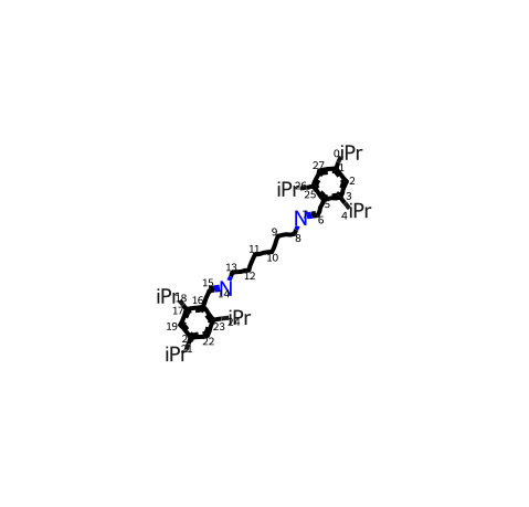 CC(C)c1cc(C(C)C)c(C=NCCCCCCN=Cc2c(C(C)C)cc(C(C)C)cc2C(C)C)c(C(C)C)c1